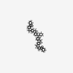 Cc1cccc(C)c1N(c1ccc2c(c1)C(C)(C)c1cc3c(cc1-2)C(C)(C)c1ccc2c(oc4ccccc42)c1-3)c1ccc2c(c1)C(C)(C)c1cc3c(cc1-2)C(C)(C)c1ccc2c(oc4ccccc42)c1-3